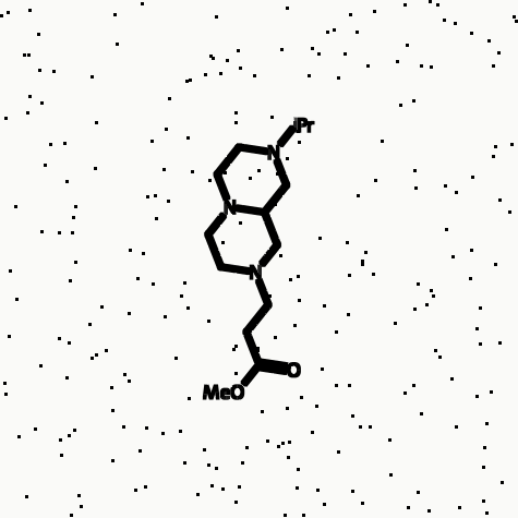 COC(=O)CCN1CCN2CCN(C(C)C)CC2C1